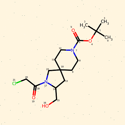 CC(C)(C)OC(=O)N1CCC2(CC1)CC(CO)N(C(=O)CCl)C2